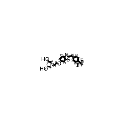 OCCN(CCO)CCOc1ccc2nc(Cc3ccc(C(F)(F)F)cc3)sc2c1